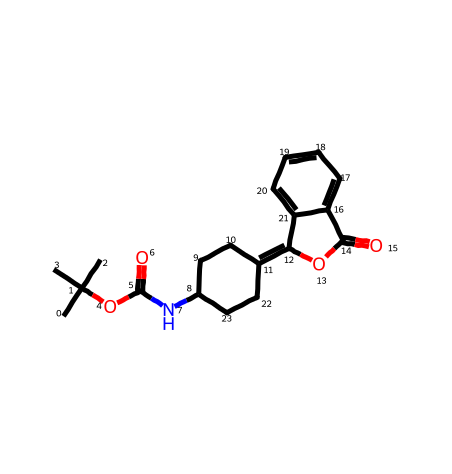 CC(C)(C)OC(=O)NC1CCC(=C2OC(=O)c3ccccc32)CC1